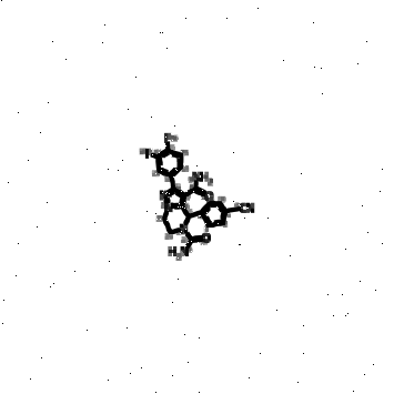 N#Cc1ccc(C2c3c(C(N)=O)c(-c4ccc(F)c(F)c4)nn3CCN2C(N)=O)cc1